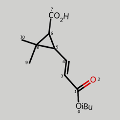 CC(C)COC(=O)/C=C/C1C(C(=O)O)C1(C)C